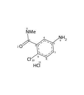 CNC(=O)c1cc(N)ccc1Cl.Cl